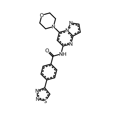 O=C(Nc1cc(N2CCOCC2)n2nccc2n1)c1ccc(-c2csnn2)cc1